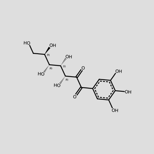 O=C(C(=O)[C@H](O)[C@@H](O)[C@H](O)[C@H](O)CO)c1cc(O)c(O)c(O)c1